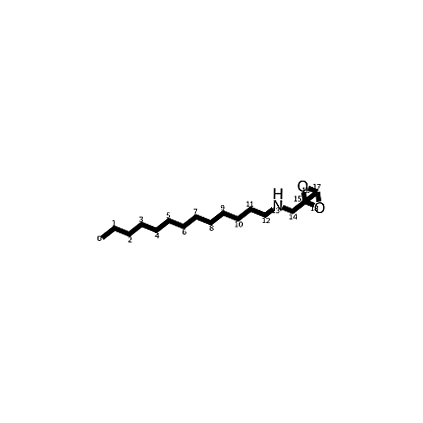 CCCCCCCCCCCCCNCC12OC1O2